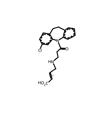 O=C(O)/C=C/CNCCC(=O)N1c2ccccc2CCc2ccc(Cl)cc21